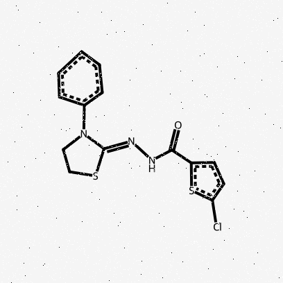 O=C(N/N=C1\SCCN1c1ccccc1)c1ccc(Cl)s1